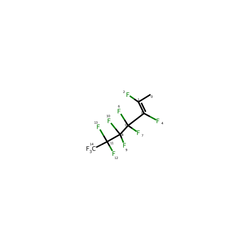 CC(F)=C(F)C(F)(F)C(F)(F)C(F)(F)C(F)(F)F